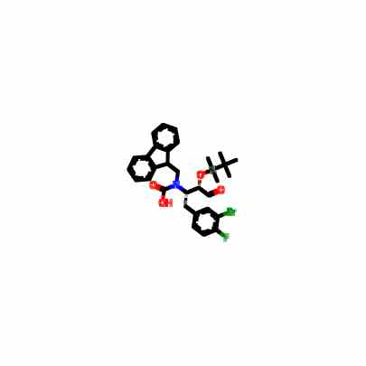 CC(C)(C)[Si](C)(C)O[C@H](C=O)[C@H](Cc1ccc(F)c(Br)c1)N(CC1c2ccccc2-c2ccccc21)C(=O)O